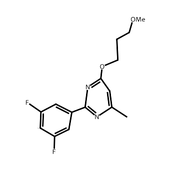 COCCCOc1cc(C)nc(-c2cc(F)[c]c(F)c2)n1